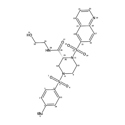 CC(C)(C)c1ccc(S(=O)(=O)N2CCN(S(=O)(=O)c3ccc4ncccc4c3)[C@@H](C(=O)NCCO)C2)cc1